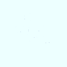 COC(=O)c1ccc(C[PH](c2ccccc2)(c2ccccc2)c2ccccc2)c(Cl)c1